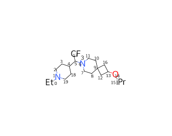 CCN1CCC(C(N2CCC3(CC2)CC(OC(C)C)C3)C(F)(F)F)CC1